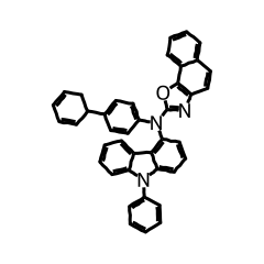 C1=CCC(c2ccc(N(c3nc4ccc5ccccc5c4o3)c3cccc4c3c3ccccc3n4-c3ccccc3)cc2)C=C1